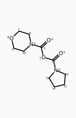 O=C(OC(=O)N1CCOCC1)N1CCCC1